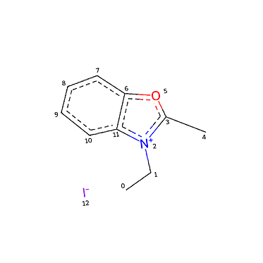 CC[n+]1c(C)oc2ccccc21.[I-]